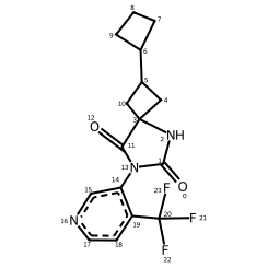 O=C1NC2(CC(C3CCC3)C2)C(=O)N1c1cnccc1C(F)(F)F